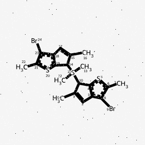 CC1=Cc2c(sc(C)c2Br)C1S(C)(C)C1C(C)=Cc2c1sc(C)c2Br